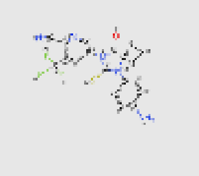 N#Cc1ncc(N2C(=O)C3(CCC3)N(c3ccc(N)cc3)C2=S)cc1C(F)(F)F